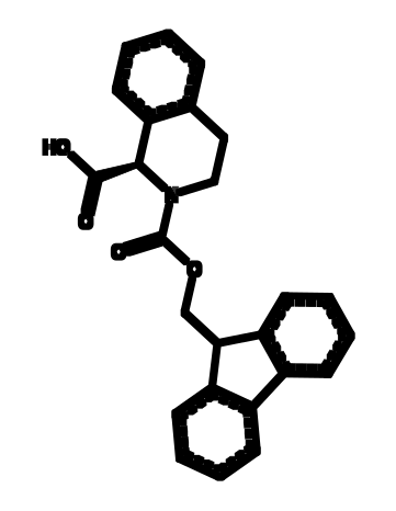 O=C(O)[C@H]1c2ccccc2CCN1C(=O)OCC1c2ccccc2-c2ccccc21